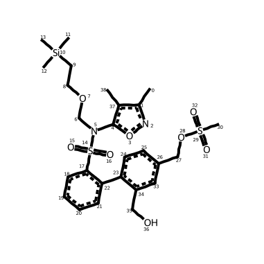 Cc1noc(N(COCC[Si](C)(C)C)S(=O)(=O)c2ccccc2-c2ccc(COS(C)(=O)=O)cc2CO)c1C